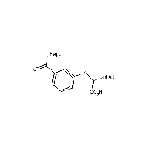 CCCCCCCCC(Oc1cccc(C(=O)CCCCCCC)c1)C(=O)O